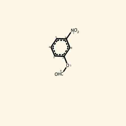 O=COc1cccc([N+](=O)[O-])c1